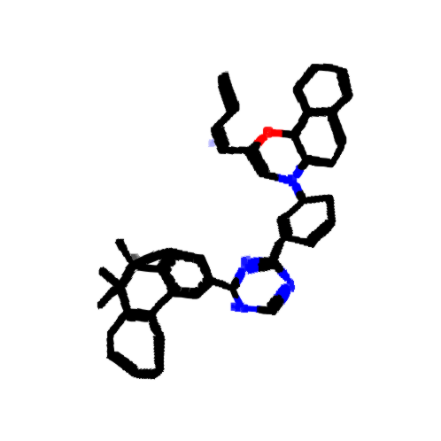 C=C/C=C\C1=CN(C2C=C(C3=NC(c4cc5c6c(c4)[C@@]6(C)C(C)(C)C4=C5C=CC=CC4)NC=N3)C=CC2)C2=CC=C3C=CCCC3C2O1